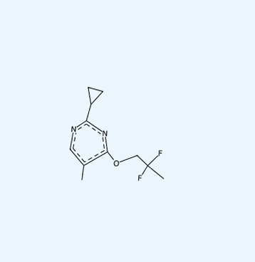 Cc1cnc(C2CC2)nc1OCC(C)(F)F